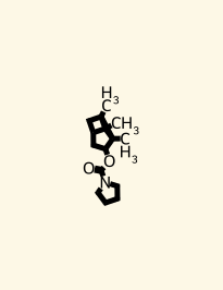 CC12CC3CC(OC(=O)N4CCCC4)C1(C)C32C